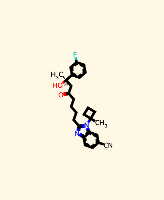 CC1(n2c(CCCCC(=O)C[C@@](C)(O)c3cccc(F)c3)nc3ccc(C#N)cc32)CCC1